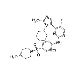 Cc1ncc(-c2nc(Nc3ccc(S(=O)(=O)N4CCN(C)CC4)cc3)ncc2F)n1C1CCCCC1.Cl